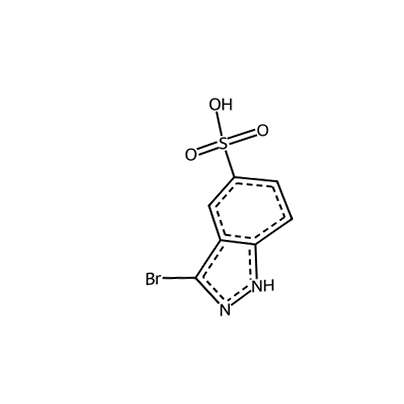 O=S(=O)(O)c1ccc2[nH]nc(Br)c2c1